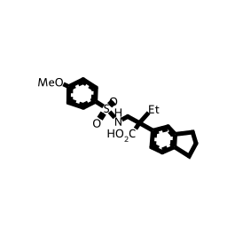 CCC(CNS(=O)(=O)c1ccc(OC)cc1)(C(=O)O)c1ccc2c(c1)CCC2